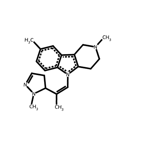 C/C(=C/n1c2c(c3cc(C)ccc31)CN(C)CC2)C1CC=NN1C